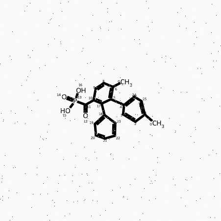 Cc1ccc(-c2c(C)ccc(C(=O)P(=O)(O)O)c2-c2ccccc2)cc1